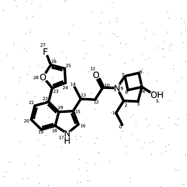 CCC1CC2(O)CC(C2)N1C(=O)CC(C)c1c[nH]c2cccc(-c3ccc(F)o3)c12